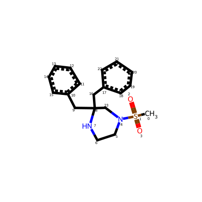 CS(=O)(=O)N1CCNC(Cc2ccccc2)(Cc2ccccc2)C1